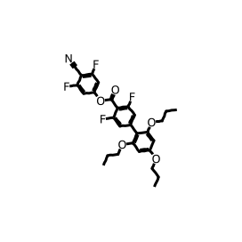 CCCOc1cc(OCCC)c(-c2cc(F)c(C(=O)Oc3cc(F)c(C#N)c(F)c3)c(F)c2)c(OCCC)c1